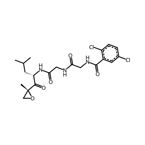 CC(C)C[C@H](NC(=O)CNC(=O)CNC(=O)c1cc(Cl)ccc1Cl)C(=O)[C@@]1(C)CO1